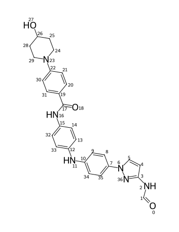 O=CNc1ccn(-c2ccc(Nc3ccc(NC(=O)c4ccc(N5CCC(O)CC5)cc4)cc3)cc2)n1